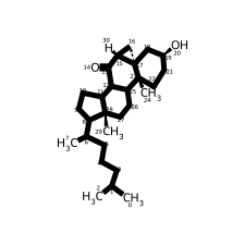 CC(C)CCCC(C)C1CCC2C3C(=O)[C@@H]4C[C@@]45C[C@@H](O)CC[C@]5(C)C3CC[C@]12C